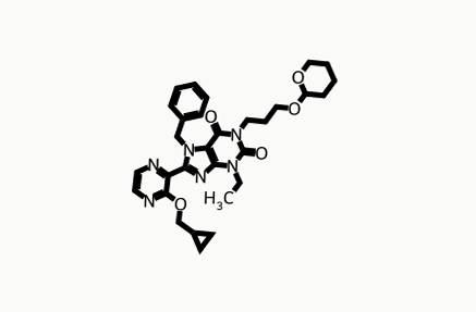 CCn1c(=O)n(CCCOC2CCCCO2)c(=O)c2c1nc(-c1nccnc1OCC1CC1)n2Cc1ccccc1